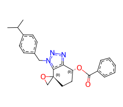 CC(C)c1ccc(Cn2nnc3c2[C@]2(CC[C@H]3OC(=O)c3ccccc3)CO2)cc1